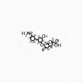 COc1cc(Oc2nc(OC(C)(C)C(=O)O)c(F)cc2F)cc(-c2cccc(CN)c2)c1